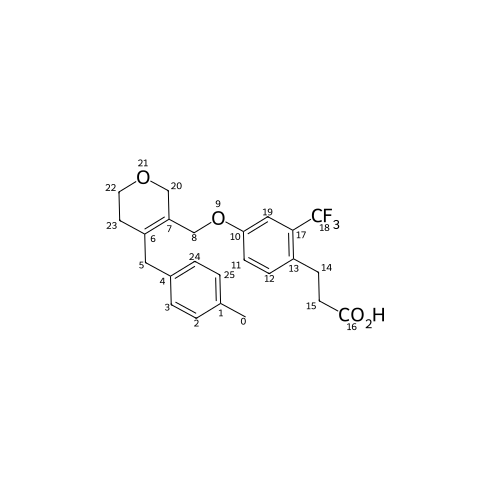 Cc1ccc(CC2=C(COc3ccc(CCC(=O)O)c(C(F)(F)F)c3)COCC2)cc1